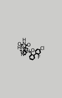 Cn1nccc1C1(CNC(=O)c2ccccc2-c2ccc(Cl)cc2F)NC(=O)NC1=O